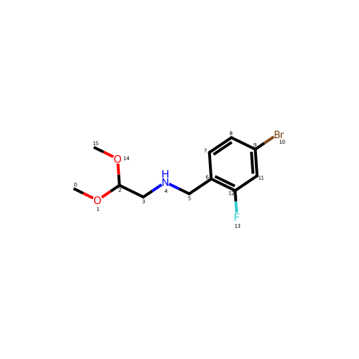 COC(CNCc1ccc(Br)cc1F)OC